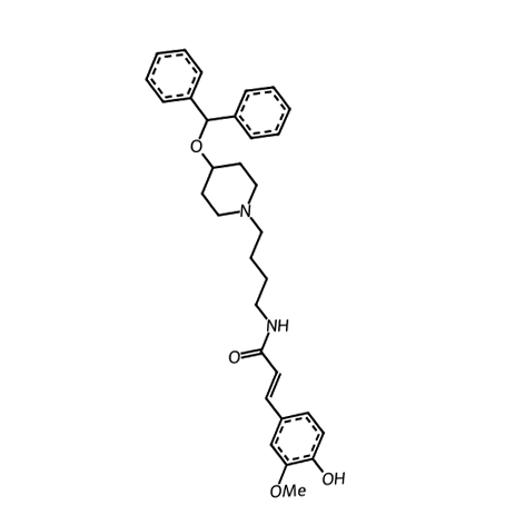 COc1cc(C=CC(=O)NCCCCN2CCC(OC(c3ccccc3)c3ccccc3)CC2)ccc1O